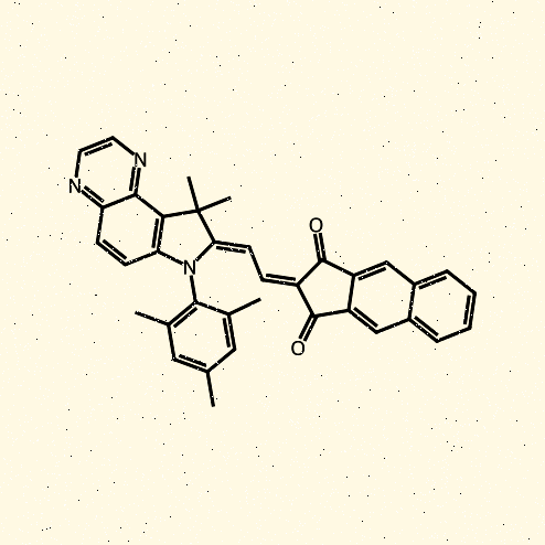 Cc1cc(C)c(N2/C(=C\C=C3C(=O)c4cc5ccccc5cc4C3=O)C(C)(C)c3c2ccc2nccnc32)c(C)c1